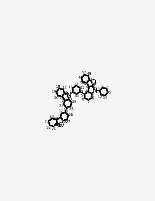 c1ccc(-n2c3cccc(-c4cccc(-n5c6ccccc6c6cc(-c7ccc8oc9ccccc9c8c7)ccc65)c4)c3c3c4ccccc4oc32)cc1